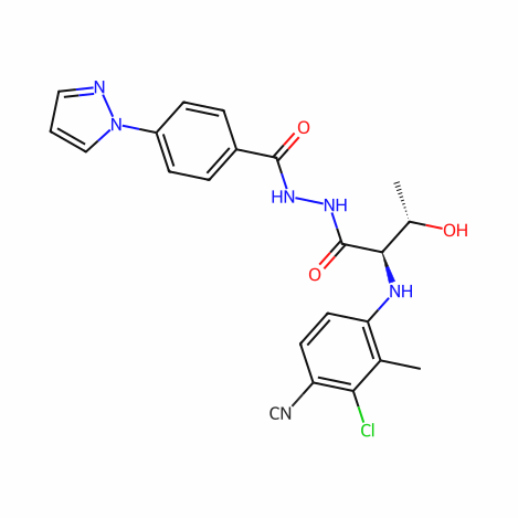 [C-]#[N+]c1ccc(N[C@@H](C(=O)NNC(=O)c2ccc(-n3cccn3)cc2)[C@H](C)O)c(C)c1Cl